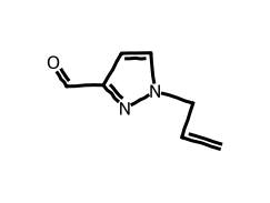 C=CCn1ccc(C=O)n1